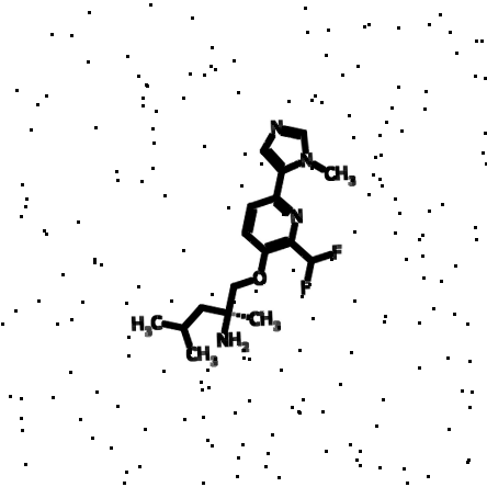 CC(C)C[C@](C)(N)COc1ccc(-c2cncn2C)nc1C(F)F